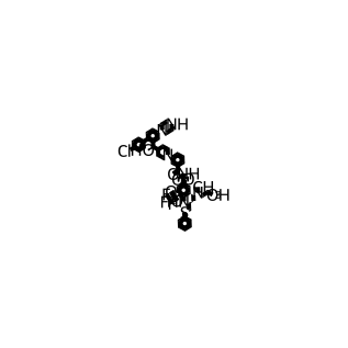 CN(CCO)CC[C@H](CSc1ccccc1)Nc1ccc(S(=O)(=O)NC(=O)c2cccc(N3CCC([C@@H](O)c4cc(N5CCNCC5)ccc4-c4ccc(Cl)cc4)CC3)c2)cc1S(=O)(=O)C(F)(F)F